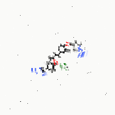 Cl.Cl.N=CN1CC[C@H](Oc2ccc(CCc3cc4cc(C(=N)N)ccc4o3)cc2)C1